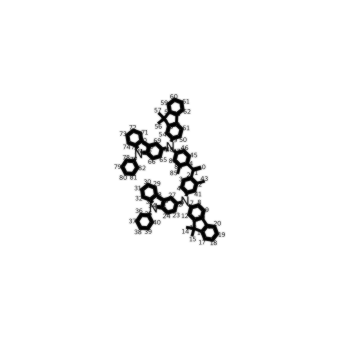 C=C(c1ccc(N(c2ccc3c(c2)C(C)(C)c2ccccc2-3)c2ccc3c(c2)c2ccccc2n3-c2ccccc2)cc1C)c1ccc(N(c2ccc3c(c2)C(C)(C)c2ccccc2-3)c2ccc3c(c2)c2ccccc2n3-c2ccccc2)cc1C